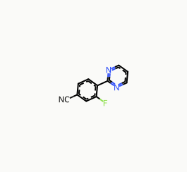 N#Cc1ccc(-c2ncccn2)c(F)c1